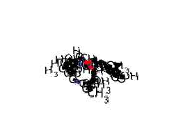 CC(=O)OC1CC/C=C/OC2Oc3c(C)c(O)c4c(O)c(c(/C=N/N5CCC(N(C)C6(C7CCN(c8c(F)cn9c(=O)c(C(=O)O)cc(C%10CC%10)c9c8C)C7)CC6)CC5)c(O)c4c3C2=O)NC(=O)/C(C)=C\C=C\C(C)CCC(O)[C@H]1C